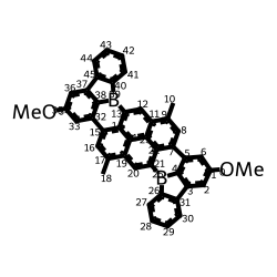 COc1cc2c3c(c1)-c1cc(C)c4cc5c6c(cc(C)c7cc(c1c4c76)B3c1ccccc1-2)-c1cc(OC)cc2c1B5c1ccccc1-2